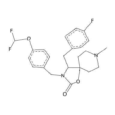 CN1CCC2(CC1)OC(=O)N(Cc1ccc(OC(F)F)cc1)C2Cc1ccc(F)cc1